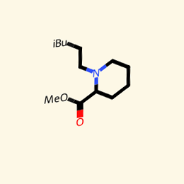 CCC(C)CCN1CCCCC1C(=O)OC